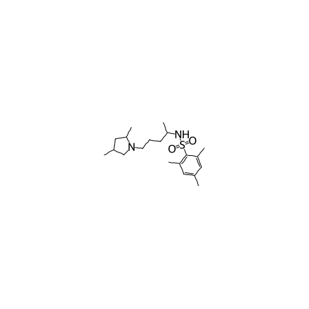 Cc1cc(C)c(S(=O)(=O)NC(C)CCCN2CC(C)CC2C)c(C)c1